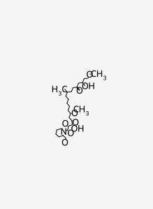 COCCC(O)CC(=O)CCC(C)CCCCCC(CC1OC1(O)C(=O)C(=O)N1CCCCC1C=O)OC